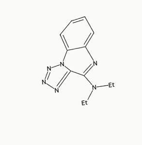 CCN(CC)c1nc2ccccc2n2nnnc12